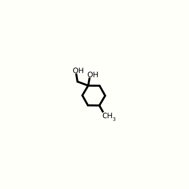 CC1CCC(O)(CO)CC1